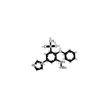 CCCCNc1cc(-n2ccnc2)cc(S(C)(=O)=O)c1Oc1ccccc1